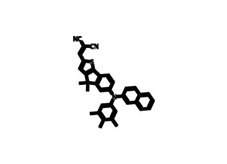 Cc1cc(N(c2ccc3c(c2)C(C)(C)c2cc(C=C(C#N)C#N)sc2-3)c2ccc3ccccc3c2)cc(C)c1C